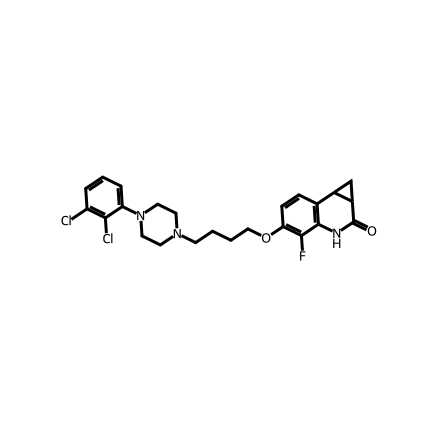 O=C1Nc2c(ccc(OCCCCN3CCN(c4cccc(Cl)c4Cl)CC3)c2F)C2CC12